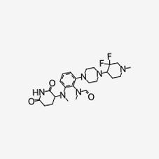 CN1CCC(N2CCN(c3cccc(N(C)C4CCC(=O)NC4=O)c3N(C)C=O)CC2)C(F)(F)C1